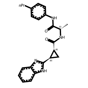 CCCc1ccc(NC(=O)[C@H](C)NC(=O)[C@@H]2C[C@H]2c2nc3ccccc3[nH]2)cc1